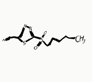 CCCCCS(=O)(=O)c1nnc(C#N)s1